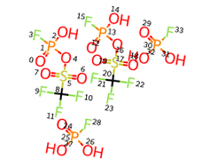 O=P(O)(F)OS(=O)(=O)C(F)(F)F.O=P(O)(F)OS(=O)(=O)C(F)(F)F.O=P(O)(O)F.O=P(O)(O)F